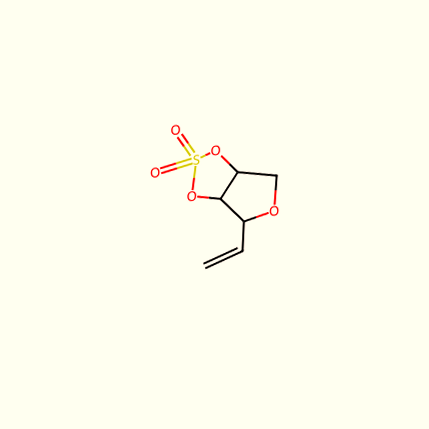 C=CC1OCC2OS(=O)(=O)OC12